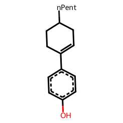 CCCCCC1CC=C(c2ccc(O)cc2)CC1